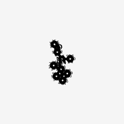 c1ccc(-c2cc(-c3ccc4c(c3)oc3ccccc34)nc(-n3c4ccccc4c4c5c(ccc43)C3(c4ccccc4-c4ccccc43)c3ccccc3-5)n2)cc1